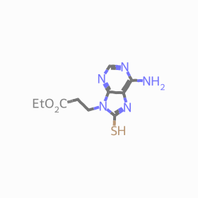 CCOC(=O)CCn1c(S)nc2c(N)ncnc21